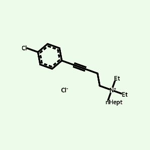 CCCCCCC[N+](CC)(CC)CCC#Cc1ccc(Cl)cc1.[Cl-]